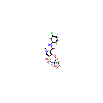 Cn1cc2c(c1C(=O)NC1C=CC(F)=C(Cl)C1)OCC1(CCOC1)NS2(=O)=O